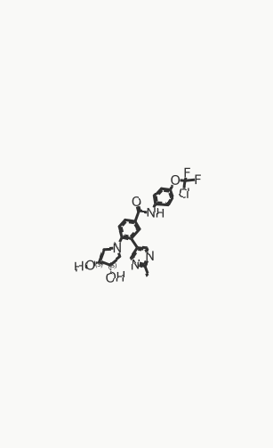 Cc1ncc(-c2cc(C(=O)Nc3ccc(OC(F)(F)Cl)cc3)ccc2N2C[C@H](O)[C@@H](O)C2)cn1